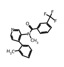 Cc1ccccc1-c1ccncc1N(C)C(=O)c1cccc(C(F)(F)F)c1